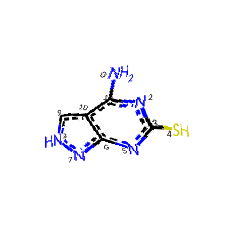 Nc1nc(S)nc2n[nH]cc12